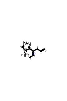 C=CC/C(=C/C)c1nncn1C(C)C